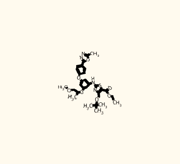 CCOC(=O)c1sc(Nc2cc(Oc3ccc(-c4nnc(C)o4)cc3)cc(OC(C)COC)c2)nc1COC(C)(C)C